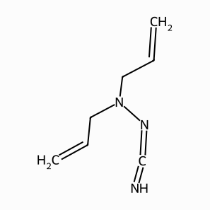 C=CCN(CC=C)N=C=N